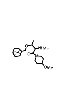 COC1CCN(C(=O)C(NC(C)=O)C(C)OCC23CCC(CC2)OC3)CC1